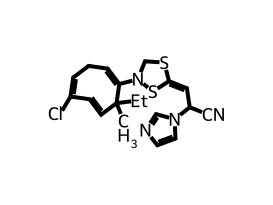 CCC1(C)/C=C/C(Cl)=C\CC=C1N1CSC(=CC(C#N)n2ccnc2)S1